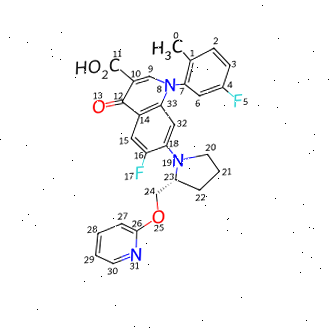 Cc1ccc(F)cc1-n1cc(C(=O)O)c(=O)c2cc(F)c(N3CCC[C@@H]3COc3ccccn3)cc21